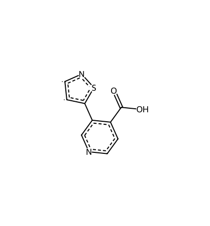 O=C(O)c1ccncc1-c1[c][c]ns1